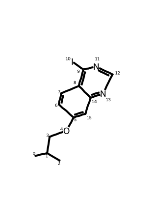 CC(C)COc1ccc2c(I)ncnc2c1